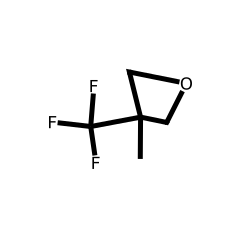 CC1(C(F)(F)F)COC1